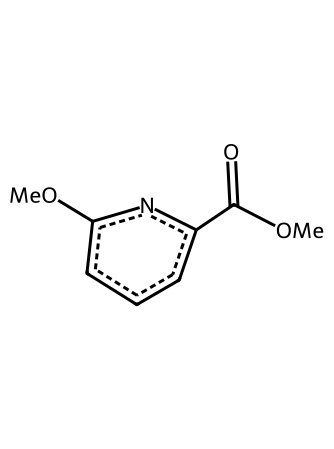 COC(=O)c1cccc(OC)n1